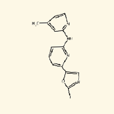 Cc1ccnc(Nc2cccc(-c3cnc(I)o3)n2)c1